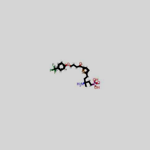 CC(N)(CCc1ccc(C(=O)CCCOc2ccc(C(F)(F)F)cc2)s1)CCP(=O)(O)O